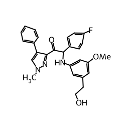 COc1cc(CCO)cc(NC(C(=O)c2nn(C)cc2-c2ccccc2)c2ccc(F)cc2)c1